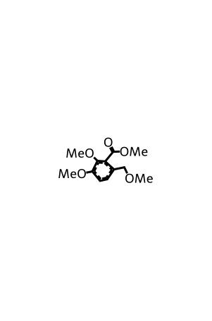 COCc1ccc(OC)c(OC)c1C(=O)OC